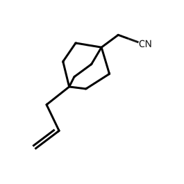 C=CCC12CCC(CC#N)(CC1)CC2